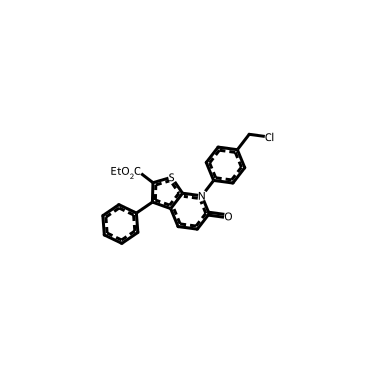 CCOC(=O)c1sc2c(ccc(=O)n2-c2ccc(CCl)cc2)c1-c1ccccc1